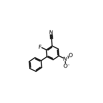 N#Cc1cc([N+](=O)[O-])cc(-c2ccccc2)c1F